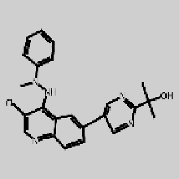 CN(Nc1c(Cl)cnc2ccc(-c3cnc(C(C)(C)O)nc3)cc12)c1ccccc1